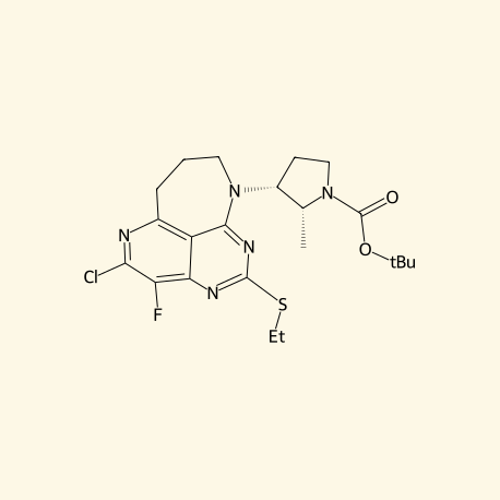 CCSc1nc2c3c(nc(Cl)c(F)c3n1)CCCN2[C@@H]1CCN(C(=O)OC(C)(C)C)[C@@H]1C